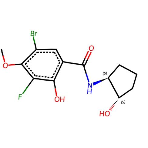 COc1c(Br)cc(C(=O)N[C@H]2CCC[C@@H]2O)c(O)c1F